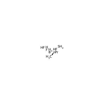 B.CCCC.F.F.F.S